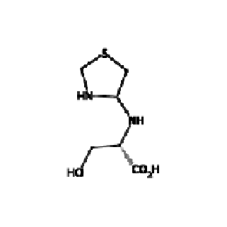 O=C(O)[C@H](CO)NC1CSCN1